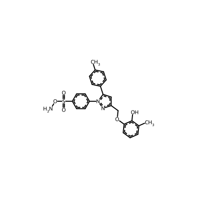 Cc1ccc(-c2cc(COc3cccc(C)c3O)nn2-c2ccc(S(=O)(=O)ON)cc2)cc1